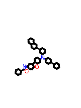 c1ccc(-c2ccc(N(c3cccc(-c4ccc5ccccc5c4)c3)c3ccc4c(c3)oc3cc5oc(-c6ccccc6)nc5cc34)cc2)cc1